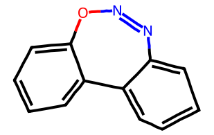 c1ccc2c(c1)N=NOc1ccccc1-2